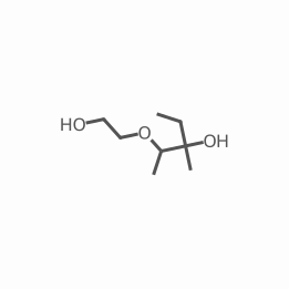 CCC(C)(O)C(C)OCCO